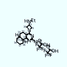 CCNC1CN(c2nc(N)nc3c2CC[C@H]2CCCC[C@H]32)C1.O=C(O)C(F)(F)F.O=C(O)C(F)(F)F